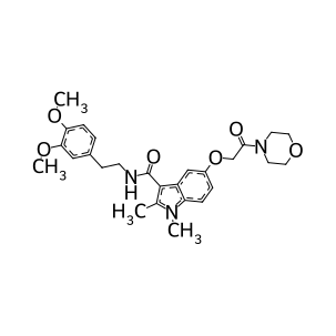 COc1ccc(CCNC(=O)c2c(C)n(C)c3ccc(OCC(=O)N4CCOCC4)cc23)cc1OC